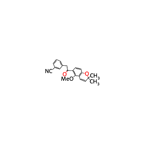 COc1c(C(=O)Cc2cccc(C#N)c2)ccc2c1C=CC(C)(C)O2